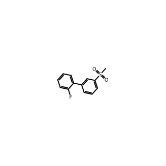 CS(=O)(=O)c1cccc(-c2ccccc2F)c1